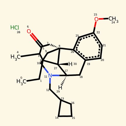 CCC1C(C)C(=O)C[C@]23CCN(CC4CCC4)[C@H](Cc4ccc(OC)cc42)[C@H]13.Cl